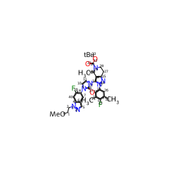 COCCn1ncc2cc(-n3ccn(-c4c5c(nn4-c4cc(C)c(F)c(C)c4)CCN(C(=O)OC(C)(C)C)[C@H]5C)c3=O)c(F)cc21